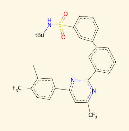 Cc1cc(-c2cc(C(F)(F)F)nc(-c3cccc(-c4cccc(S(=O)(=O)NC(C)(C)C)c4)c3)n2)ccc1C(F)(F)F